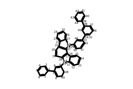 C1=C(c2ccccc2)C=C(n2c3ccccc3c3c2ccc2c4ccccc4n(-c4cccc(-c5cccc(-c6ccccc6)c5)c4)c23)CC1